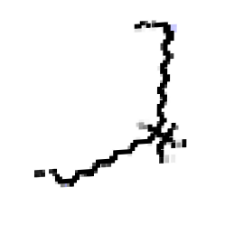 CCCCCCCC/C=C\CCCCCCCCC(O)(CCCCCCCC/C=C\CCCCCCCC)C(O)(CO)C(C)=O